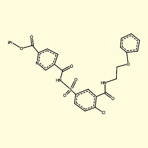 CC(C)OC(=O)c1ccc(C(=O)NS(=O)(=O)c2ccc(Cl)c(C(=O)NCCOc3ccccc3)c2)cn1